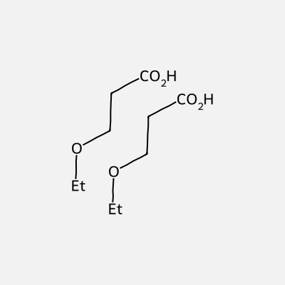 CCOCCC(=O)O.CCOCCC(=O)O